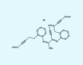 CCCCCC#CCCc1ccccc1/N=C(CCCC)\C(C#CCCCCCC)=N\c1ccccc1CCC#CCCCCC.[Ni]